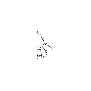 CC(=O)[O-].CC(=O)[O-].CC(=O)[O-].CC(=O)[O-].[Ta+4]